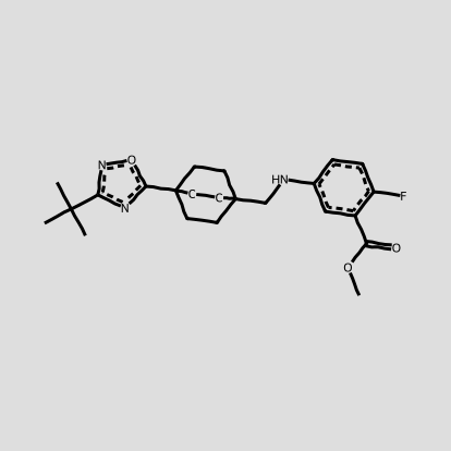 COC(=O)c1cc(NCC23CCC(c4nc(C(C)(C)C)no4)(CC2)CC3)ccc1F